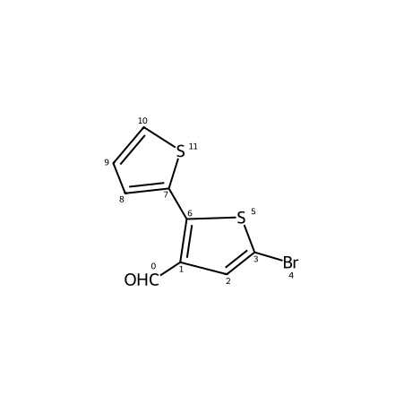 O=Cc1cc(Br)sc1-c1cccs1